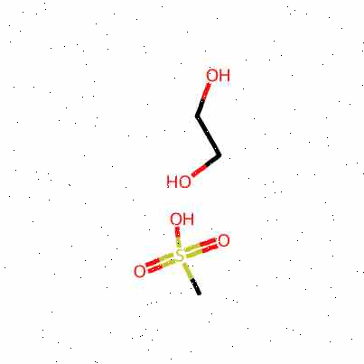 CS(=O)(=O)O.OCCO